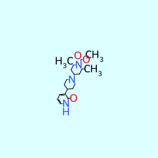 COC(=O)N1C(C)CC(N2CCC(c3ccc[nH]c3=O)CC2)CC1C